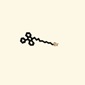 BrCCCCCCCCCCc1c2ccccc2c(-c2ccccc2)c2ccccc12